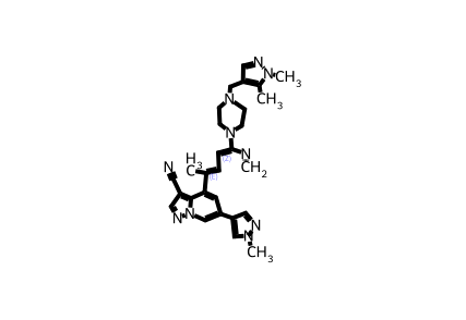 C=N/C(=C\C=C(/C)c1cc(-c2cnn(C)c2)cn2ncc(C#N)c12)N1CCN(Cc2cnn(C)c2C)CC1